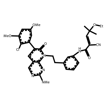 CCOC(C)(C)C=C(C#N)C(=O)Nc1cccc(CCn2c(=O)c(-c3cc(OC)cc(OC)c3Cl)cc3cnc(NC)nc32)c1